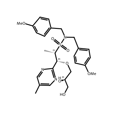 COc1ccc(CN(Cc2ccc(OC)cc2)S(=O)(=O)[C@@H](C)[C@H](OC[C@H](O)CO)c2ncc(C)cn2)cc1